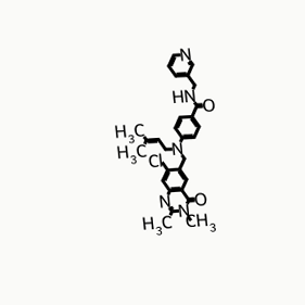 CC(C)=CCN(Cc1cc2c(=O)n(C)c(C)nc2cc1Cl)c1ccc(C(=O)NCc2cccnc2)cc1